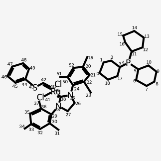 C1CCC(P(C2CCCCC2)C2CCCCC2)CC1.Cc1cc(C)c(N2CCN(c3c(C)cc(C)cc3C)[C]2=[Ru]([Cl])([Cl])=[CH]Sc2ccccc2)c(C)c1